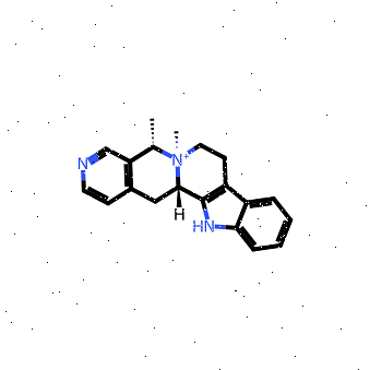 C[C@H]1c2cnccc2C[C@H]2c3[nH]c4ccccc4c3CC[N@+]12C